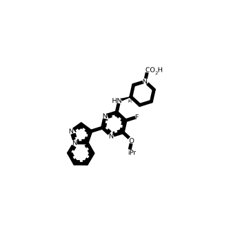 CC(C)Oc1nc(-c2cnn3ccccc23)nc(N[C@@H]2CCCN(C(=O)O)C2)c1F